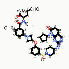 CNC(=O)C(CCC=O)N(C)C(=O)c1cc(N2CC(Oc3cccc([S+]([O-])N4CCC(Nc5ncc6ccc(=O)n(C7CCCC7)c6n5)CC4)c3)C2)ccc1C=O